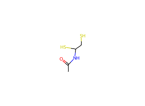 CC(=O)NC(S)CS